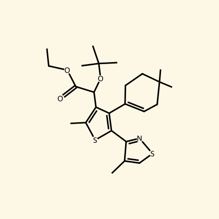 CCOC(=O)C(OC(C)(C)C)c1c(C)sc(-c2nscc2C)c1C1=CCC(C)(C)CC1